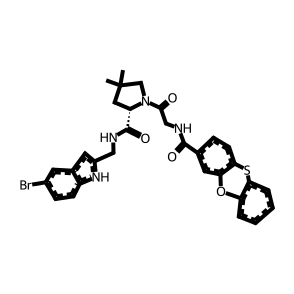 CC1(C)C[C@@H](C(=O)NCc2cc3cc(Br)ccc3[nH]2)N(C(=O)CNC(=O)c2ccc3c(c2)Oc2ccccc2S3)C1